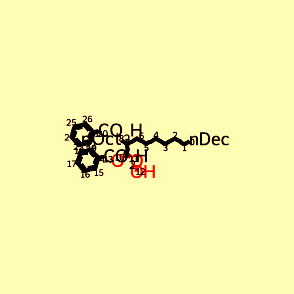 CCCCCCCCCCCCCCCCC(CCCCCCCC)C(=O)OO.O=C(O)c1ccccc1.O=C(O)c1ccccc1